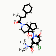 CC(CC1CCCCC1)C(=O)N1CCC(O)(Cn2cc(C(=O)N(C)C)c(Cl)cc2=O)C2(CCCC2)C1